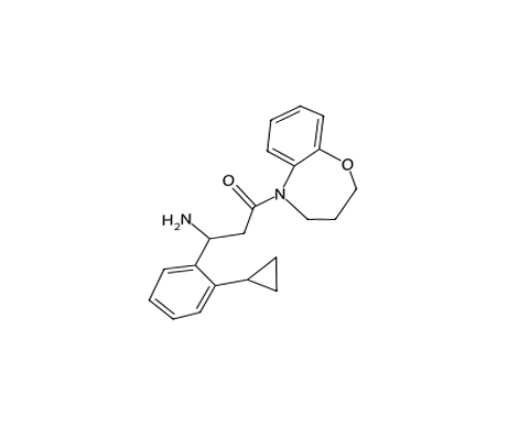 NC(CC(=O)N1CCCOc2ccccc21)c1ccccc1C1CC1